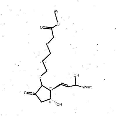 CCCCCC(O)C=C[C@@H]1C(SCCCSCC(=O)OC(C)C)C(=O)C[C@H]1O